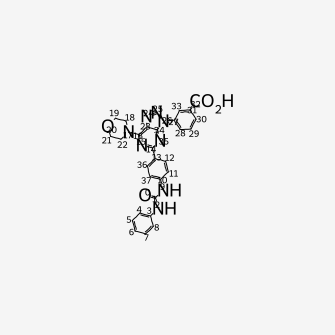 O=C(Nc1ccccc1)Nc1ccc(-c2nc(N3CCOCC3)c3nnn(-c4cccc(C(=O)O)c4)c3n2)cc1